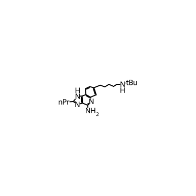 CCCc1nc2c(N)nc3cc(CCCCCNC(C)(C)C)ccc3c2[nH]1